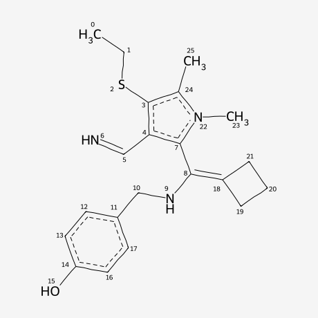 CCSc1c(C=N)c(C(NCc2ccc(O)cc2)=C2CCC2)n(C)c1C